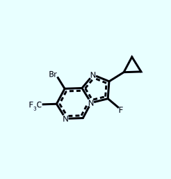 Fc1c(C2CC2)nc2c(Br)c(C(F)(F)F)ncn12